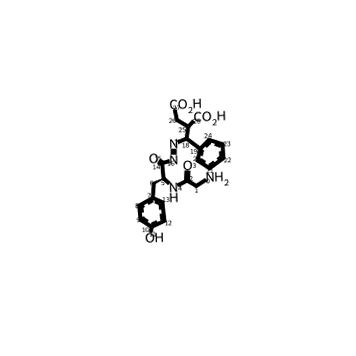 NCC(=O)N[C@@H](Cc1ccc(O)cc1)C(=O)N=NC(c1ccccc1)C(CC(=O)O)C(=O)O